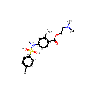 CCN(CC)CCOC(=O)c1ccc(N(C)S(=O)(=O)c2ccc(C)cc2)cc1OC